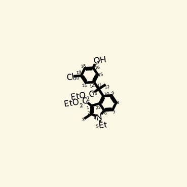 CCOC(=O)c1c(C)n(CC)c2cccc(C(C)(C(=O)OCC)c3cc(O)cc(Cl)c3)c12